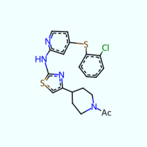 CC(=O)N1CCC(c2csc(Nc3cc(Sc4ccccc4Cl)ccn3)n2)CC1